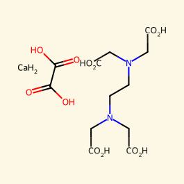 O=C(O)C(=O)O.O=C(O)CN(CCN(CC(=O)O)CC(=O)O)CC(=O)O.[CaH2]